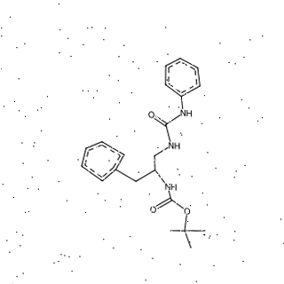 CC(C)(C)OC(=O)NC(CNC(=O)Nc1ccccc1)Cc1ccccc1